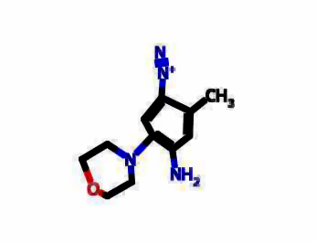 Cc1cc(N)c(N2CCOCC2)cc1[N+]#N